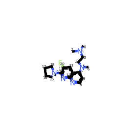 CN(C)CCN(C)c1ccnc2nc(N3CCCC3)c(F)cc12